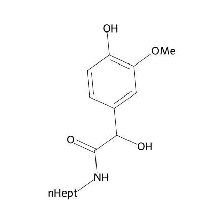 CCCCCCCNC(=O)C(O)c1ccc(O)c(OC)c1